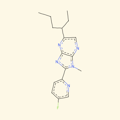 CCCC(CC)c1cnc2c(n1)nc(-c1ccc(F)cn1)n2C